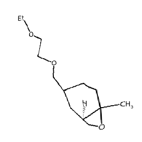 CCOCCOCC1CCC2(C)O[C@H]2C1